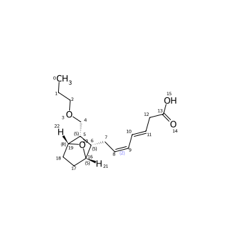 CCCOC[C@@H]1[C@H](C/C=C\C=CCC(=O)O)[C@@H]2CC[C@H]1O2